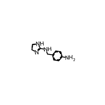 Nc1ccc(CNC2=NCCN2)cc1